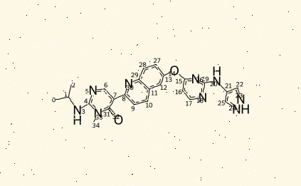 CC(C)Nc1ncc(-c2ccc3cc(Oc4ccnc(Nc5cn[nH]c5)n4)ccc3n2)c(=O)n1C